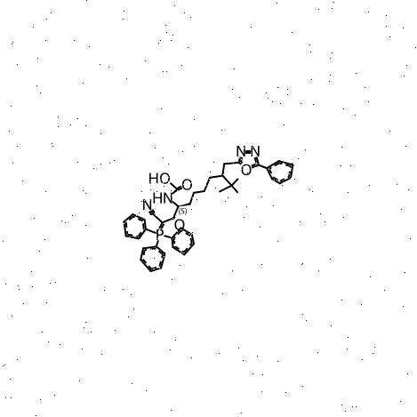 CC(C)(C)C(CCCC[C@H](NC(=O)O)C(=O)C(C#N)=P(c1ccccc1)(c1ccccc1)c1ccccc1)Cc1nnc(-c2ccccc2)o1